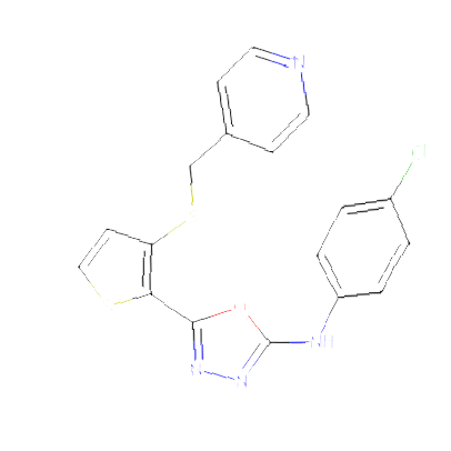 Clc1ccc(Nc2nnc(-c3sccc3SCc3ccncc3)o2)cc1